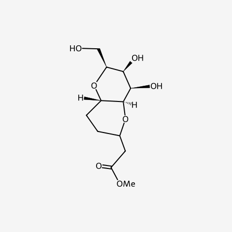 COC(=O)CC1CC[C@@H]2O[C@@H](CO)[C@@H](O)[C@@H](O)[C@H]2O1